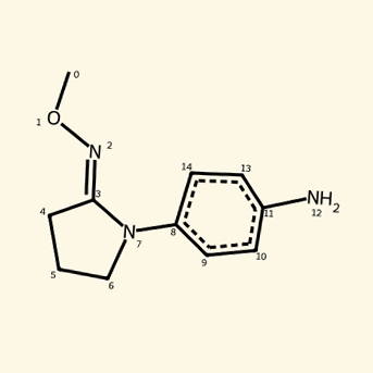 CO/N=C1\CCCN1c1ccc(N)cc1